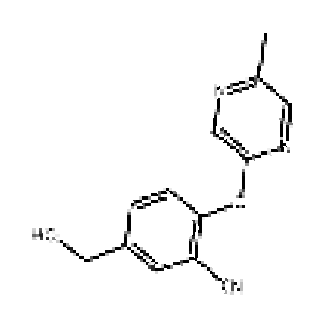 Cc1cnc(Oc2ccc(CO)cc2C#N)cn1